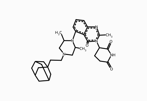 Cc1nc2cccc(N3C(C)CN(CCC45CC6CC(CC(C6)C4)C5)CC3C)c2c(=O)n1C1CCC(=O)NC1=O